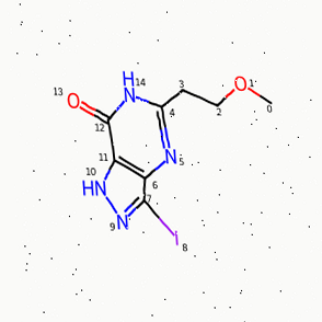 COCCc1nc2c(I)n[nH]c2c(=O)[nH]1